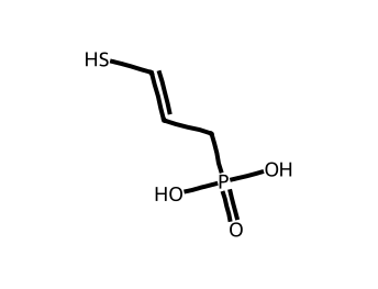 O=P(O)(O)CC=CS